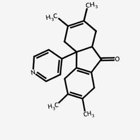 CC1=C(C)CC2=C(C1)C(=O)C1CC(C)=C(C)CC21c1ccncc1